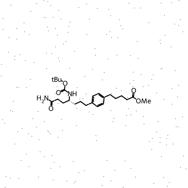 COC(=O)CCCCc1ccc(CCC[C@H](CCC(N)=O)NC(=O)OC(C)(C)C)cc1